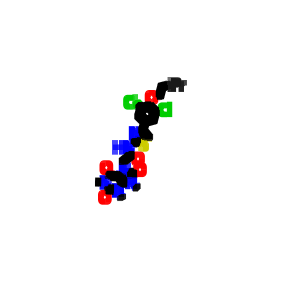 CC(C)CCOc1c(Cl)cc(-c2csc(NC(=O)Cn3c(=O)n(C)c4c3c(=O)n(C)c(=O)n4C)n2)cc1Cl